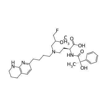 COC(CF)CN(CCCCc1ccc2c(n1)NCCC2)CC[C@H](NC(=O)[C@](C)(O)c1ccccc1)C(=O)O